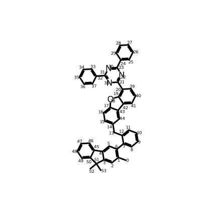 Cc1cc2c(cc1-c1ccccc1Cc1ccc3oc4c(-c5nc(-c6ccccc6)nc(-c6ccccc6)n5)cccc4c3c1)-c1ccccc1C2(C)C